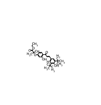 CCOC(=O)C(C)(C)Oc1ccc(C(=O)/C=C/c2cc(C(C)(C)C)c(O)c(C(C)(C)C)c2)c(O)c1